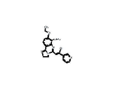 COc1c(OCC#N)ccc2c1N=C(/C=C(\O)c1cccnc1)N1CCN=C21